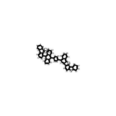 CC1(C)c2ccccc2-c2cccc(-c3c4ccccc4c(-c4ccc(-c5cc6c7ccc8sc9ccccc9c8c7oc6c6ccccc56)cc4)c4ccccc34)c21